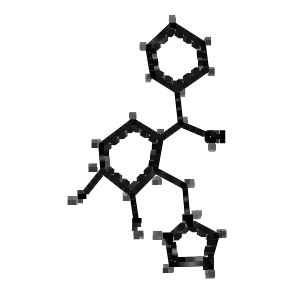 OC(c1ccccc1)c1ccc(F)c(F)c1Cn1cncn1